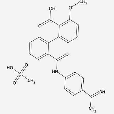 COc1cccc(-c2ccccc2C(=O)Nc2ccc(C(=N)N)cc2)c1C(=O)O.CS(=O)(=O)O